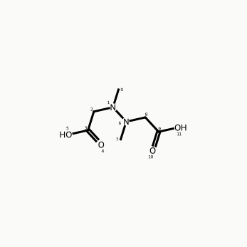 CN(CC(=O)O)N(C)CC(=O)O